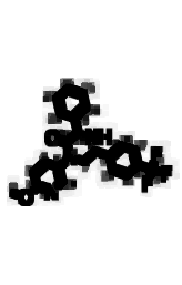 COc1ccc(N(CCc2ccc(C(F)(F)F)cc2)C(=O)[C@H](N)c2ccccc2)cn1